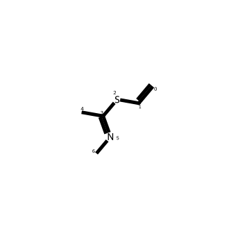 C=CSC(C)=NC